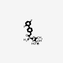 Cc1nc(N(C)C(=O)Cc2ccc(-c3cc(F)ccc3F)cc2)sc1P(=O)(O)O